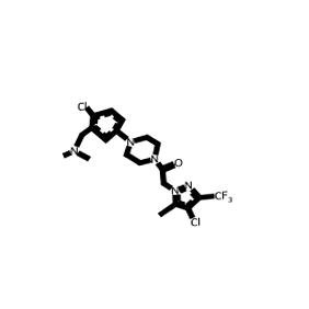 Cc1c(Cl)c(C(F)(F)F)nn1CC(=O)N1CCN(c2ccc(Cl)c(CN(C)C)c2)CC1